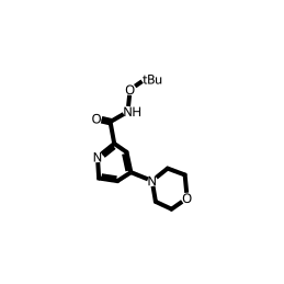 CC(C)(C)ONC(=O)c1cc(N2CCOCC2)ccn1